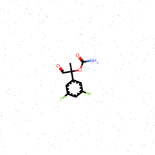 CC(C=O)(OC(N)=O)c1cc(F)cc(F)c1